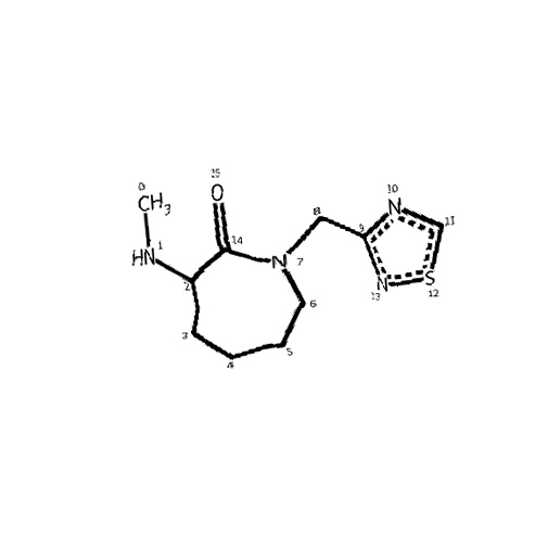 CNC1CCCCN(Cc2ncsn2)C1=O